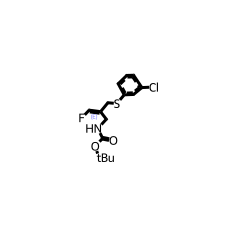 CC(C)(C)OC(=O)NC/C(=C\F)CSc1cccc(Cl)c1